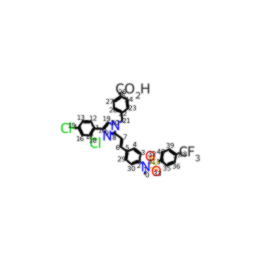 CN(c1ccc(C=Cc2nc(-c3ccc(Cl)cc3Cl)cn2Cc2ccc(C(=O)O)cc2)cc1)S(=O)(=O)c1ccc(C(F)(F)F)cc1